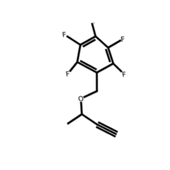 C#CC(C)OCc1c(F)c(F)c([CH2])c(F)c1F